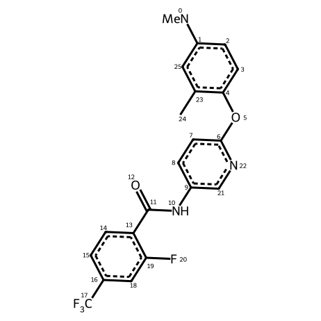 CNc1ccc(Oc2ccc(NC(=O)c3ccc(C(F)(F)F)cc3F)cn2)c(C)c1